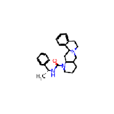 C[C@@H](NC(=O)N1CCCC2CN3CCc4ccccc4C3CC21)c1ccccc1